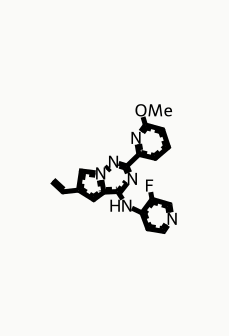 C=Cc1cc2c(Nc3ccncc3F)nc(-c3cccc(OC)n3)nn2c1